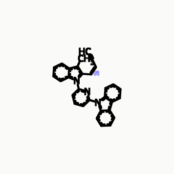 C#C/C=C\c1c(C)c2ccccc2n1-c1cccc(-n2c3ccccc3c3ccccc32)n1